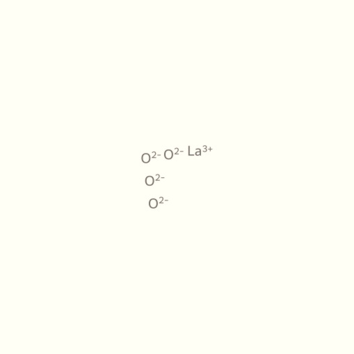 [La+3].[O-2].[O-2].[O-2].[O-2]